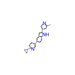 Cc1cc(-c2cc3cc(-c4ccc(C5CC5)nc4)ccc3[nH]2)ccn1